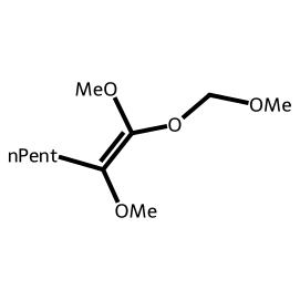 CCCCC/C(OC)=C(\OC)OCOC